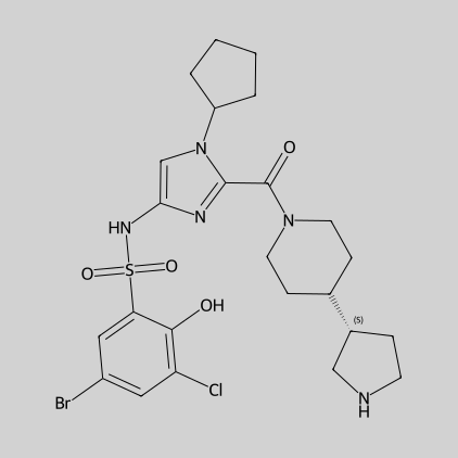 O=C(c1nc(NS(=O)(=O)c2cc(Br)cc(Cl)c2O)cn1C1CCCC1)N1CCC([C@@H]2CCNC2)CC1